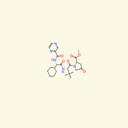 COC(=O)C1CC(=O)CN1C(=O)[C@@H](NC(=O)[C@@H](NC(=O)c1cnccn1)C1CCCCC1)C(C)(C)C